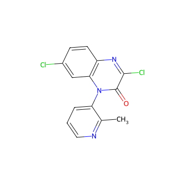 Cc1ncccc1-n1c(=O)c(Cl)nc2ccc(Cl)cc21